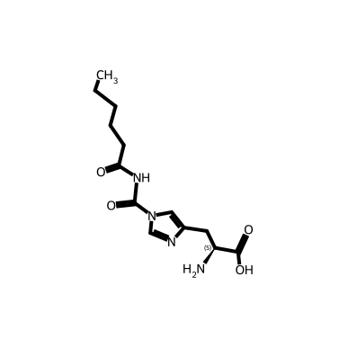 CCCCCC(=O)NC(=O)n1cnc(C[C@H](N)C(=O)O)c1